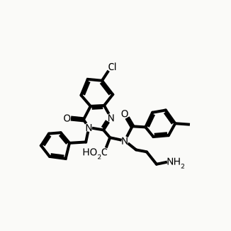 Cc1ccc(C(=O)N(CCCN)C(C(=O)O)c2nc3cc(Cl)ccc3c(=O)n2Cc2ccccc2)cc1